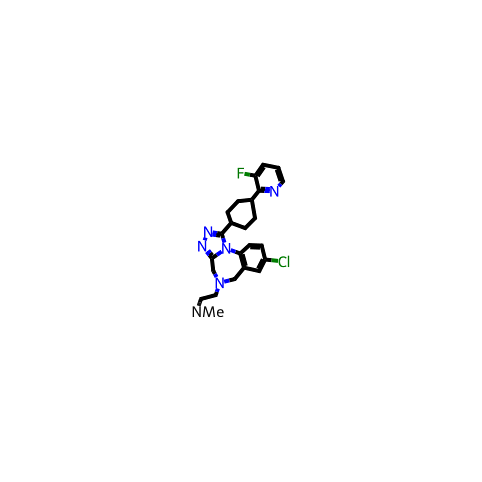 CNCCN1Cc2cc(Cl)ccc2-n2c(nnc2C2CCC(c3ncccc3F)CC2)C1